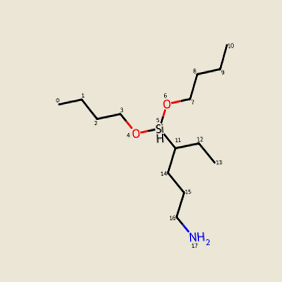 CCCCO[SiH](OCCCC)C(CC)CCCN